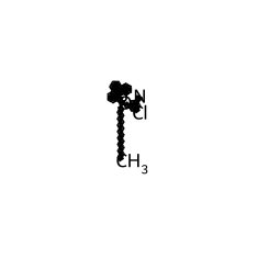 CCCCCCCCCCCCCCCCCC[C@H](COC(c1ccccc1)(c1ccccc1)c1ccccc1)OCc1cc(Cl)cc(C#N)c1